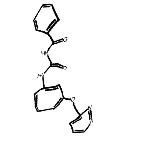 O=C(NC(=O)c1ccccc1)Nc1cccc(Oc2cccnn2)c1